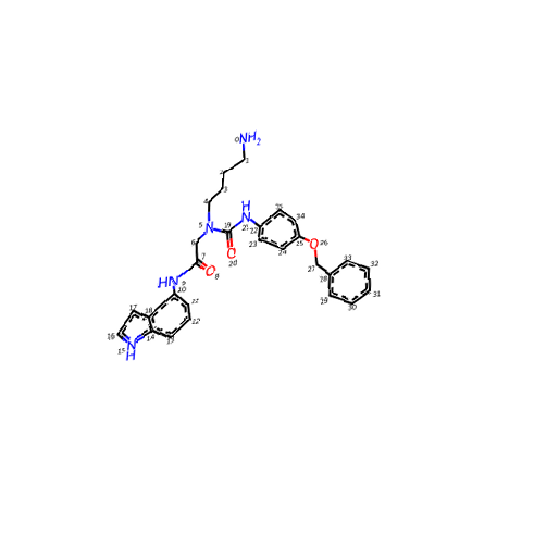 NCCCCN(CC(=O)Nc1cccc2[nH]ccc12)C(=O)Nc1ccc(OCc2ccccc2)cc1